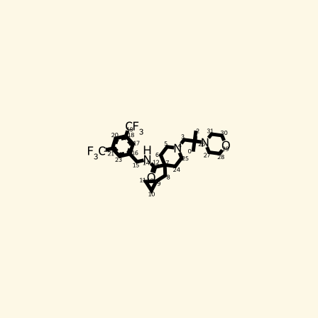 CC(C)(CN1CCC(CC2CC2)(C(=O)NCc2cc(C(F)(F)F)cc(C(F)(F)F)c2)CC1)N1CCOCC1